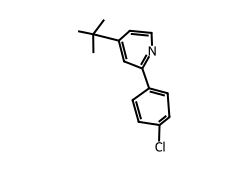 CC(C)(C)c1ccnc(-c2ccc(Cl)cc2)c1